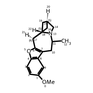 COc1ccc2oc3c(c2c1)CC(C)N1C[C@H]2C[C@@H]3[C@@H]1C2